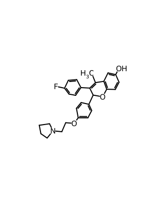 CC1=C(c2ccc(F)cc2)C(c2ccc(OCCN3CCCC3)cc2)Oc2ccc(O)cc21